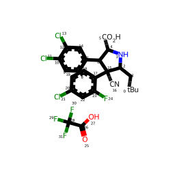 CC(C)(C)CC1NC(C(=O)O)C(c2ccc(Cl)c(Cl)c2)C1(C#N)c1ccc(Cl)cc1F.O=C(O)C(F)(F)F